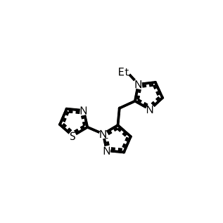 CCn1ccnc1Cc1ccnn1-c1nccs1